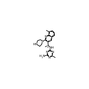 Cc1nc(N)nc(N[C@@H](C)c2cc3cccc(C)c3nc2N2CCNCC2)n1